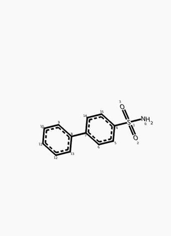 NS(=O)(=O)c1ccc(-c2c[c]ccc2)cc1